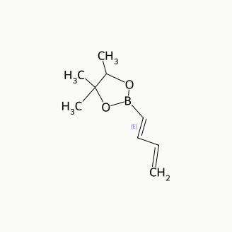 C=C/C=C/B1OC(C)C(C)(C)O1